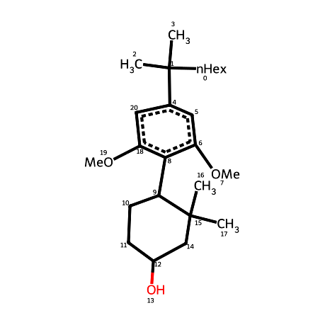 CCCCCCC(C)(C)c1cc(OC)c(C2CCC(O)CC2(C)C)c(OC)c1